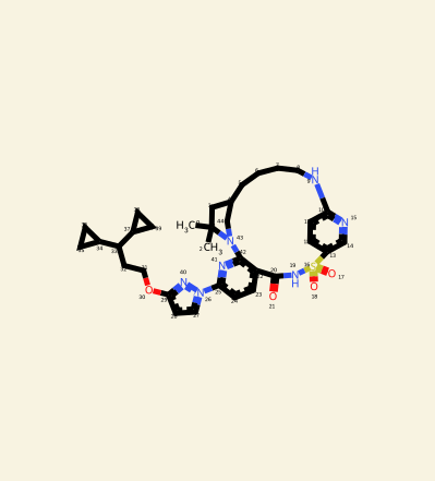 CC1(C)CC2CCCCNc3ccc(cn3)S(=O)(=O)NC(=O)c3ccc(-n4ccc(OCCC(C5CC5)C5CC5)n4)nc3N1C2